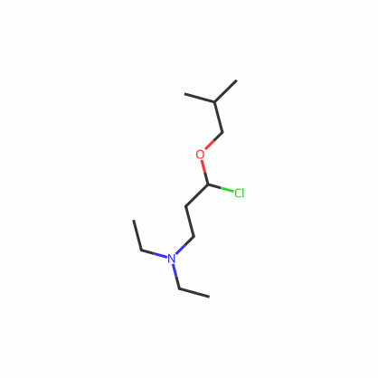 CCN(CC)CCC(Cl)OCC(C)C